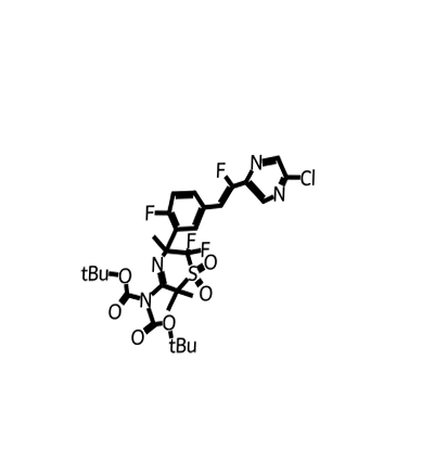 CC(C)(C)OC(=O)N(C(=O)OC(C)(C)C)C1=NC(C)(c2cc(C=C(F)c3cnc(Cl)cn3)ccc2F)C(F)(F)S(=O)(=O)C1(C)C